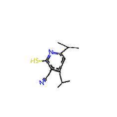 CC(C)c1cc(C(C)C)c(C#N)c(S)n1